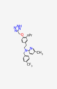 CCCc1cc(CCN(Cc2ccc(C(F)(F)F)cc2)c2ccc(C)cn2)ccc1OCc1nn[nH]n1